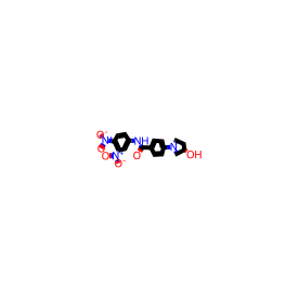 O=C(Nc1ccc([N+](=O)[O-])c([N+](=O)[O-])c1)c1ccc(N2CCC(O)C2)cc1